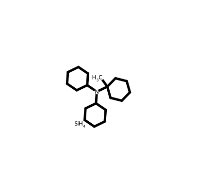 CC1(N(C2CCCCC2)C2CCCCC2)CCCCC1.[SiH4]